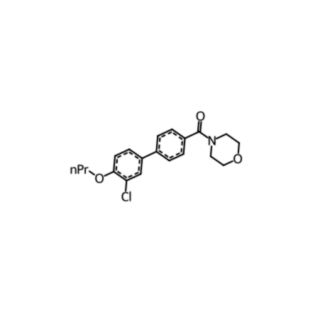 CCCOc1ccc(-c2ccc(C(=O)N3CCOCC3)cc2)cc1Cl